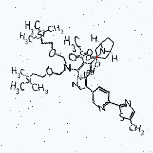 Cc1cnc(-c2ccc(-c3cnn4c(N(COCC[Si](C)(C)C)COCC[Si](C)(C)C)c(S(C)(=O)=O)c([C@H]5C[C@H]6CC[C@@H](C5)N6C(=O)OC(C)(C)C)nc34)cn2)s1